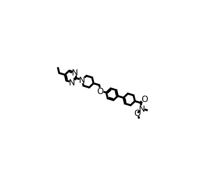 CCc1cnc(N2CCC(COc3ccc(C4=CCC(C(=O)N(C)OC)CC4)cc3)CC2)nc1